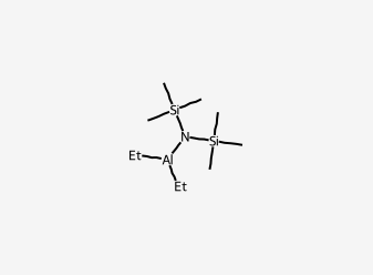 C[CH2][Al]([CH2]C)[N]([Si](C)(C)C)[Si](C)(C)C